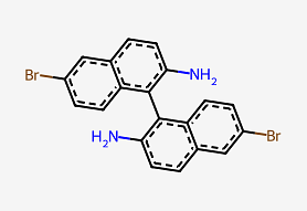 Nc1ccc2cc(Br)ccc2c1-c1c(N)ccc2cc(Br)ccc12